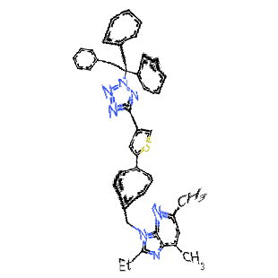 CCc1nc2c(C)cc(C)nc2n1Cc1ccc(-c2cc(-c3nnn(C(c4ccccc4)(c4ccccc4)c4ccccc4)n3)cs2)cc1